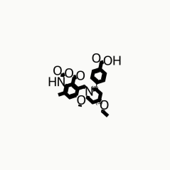 CCO[C@H]1CCN(Cc2c(OC)cc(C)c3[nH]c(=O)oc(=O)c23)[C@H](c2ccc(C(=O)O)cc2)C1